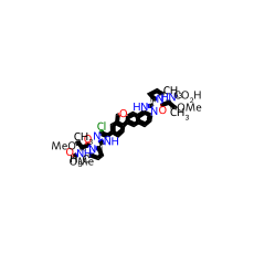 COC(=O)N[C@H](C(=O)N1[C@@H](C)CC[C@H]1c1nc(Cl)c(-c2ccc3c(c2)COc2cc4c(ccc5nc([C@@H]6CC[C@H](C)N6C(=O)[C@@H](NC(=O)O)[C@@H](C)OC)[nH]c54)cc2-3)[nH]1)C(C)OC